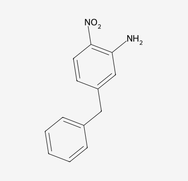 Nc1cc(Cc2ccccc2)ccc1[N+](=O)[O-]